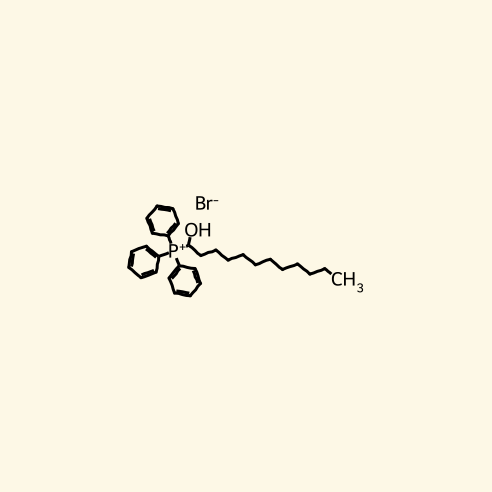 CCCCCCCCCCCC(O)[P+](c1ccccc1)(c1ccccc1)c1ccccc1.[Br-]